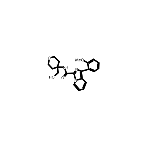 COc1ccccc1-c1nc(C(=O)NC2(CO)CCOCC2)n2ccccc12